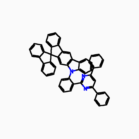 c1ccc(-c2cc(-c3ccccc3)nc(-c3ccccc3-n3c4ccccc4c4cc5c(cc43)C3(c4ccccc4-c4ccccc43)c3ccccc3-5)n2)cc1